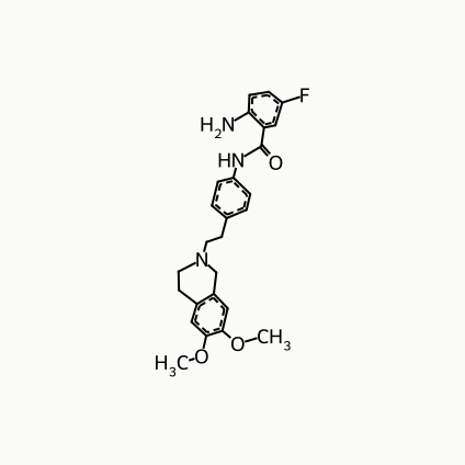 COc1cc2c(cc1OC)CN(CCc1ccc(NC(=O)c3cc(F)ccc3N)cc1)CC2